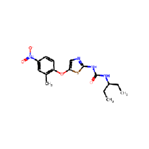 CCC(CC)NC(=O)Nc1ncc(Oc2ccc([N+](=O)[O-])cc2C)s1